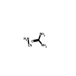 N#CN.NC(N)=O